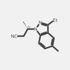 CCc1nn([C@@H](C)CC#N)c2ccc(C)cc12